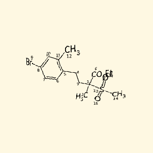 CCOC(=O)C(C)(CCc1ccc(Br)cc1C)S(C)(=O)=O